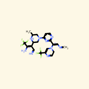 C=N/C=C(/c1nccc(N2CC(C)NC(/C(C=N)=C(/N)C(F)(F)F)C2)n1)N1C=C(C(F)(F)F)N=CC1